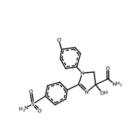 NC(=O)C1(O)CN(c2ccc(Cl)cc2)C(c2ccc(S(N)(=O)=O)cc2)=N1